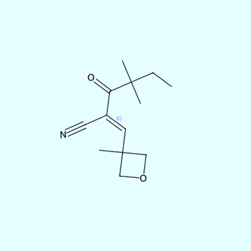 CCC(C)(C)C(=O)/C(C#N)=C/C1(C)COC1